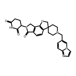 O=C1CCC(N2Cc3c(ccc4c3OCC43CCN(Cc4ccc5nccn5c4)CC3)C2=O)C(=O)N1